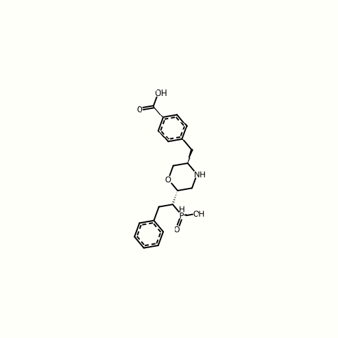 O=C(O)c1ccc(C[C@@H]2CO[C@@H](C(Cc3ccccc3)[PH](=O)O)CN2)cc1